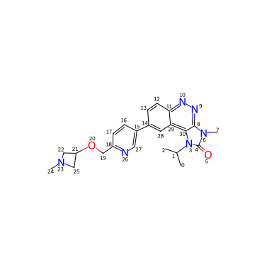 CC(C)n1c(=O)n(C)c2nnc3ccc(-c4ccc(COC5CN(C)C5)nc4)cc3c21